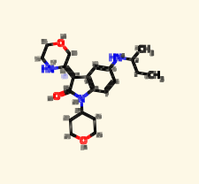 CCC(C)Nc1ccc2c(c1)/C(=C1\COCCN1)C(=O)N2C1CCOCC1